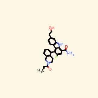 C=CC(=O)N1CCc2c(cccc2-c2c(F)cc(C(N)=O)c3[nH]c4cc(CCO)ccc4c23)C1